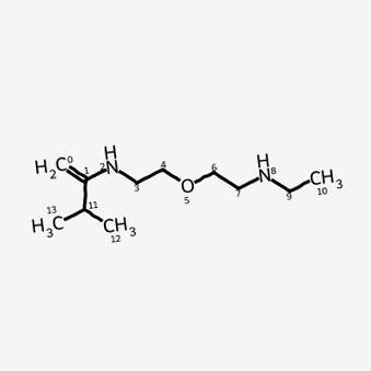 C=C(NCCOCCNCC)C(C)C